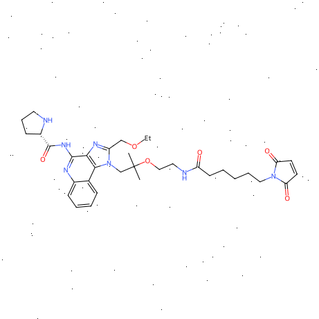 CCOCc1nc2c(NC(=O)[C@@H]3CCCN3)nc3ccccc3c2n1CC(C)(C)OCCNC(=O)CCCCCN1C(=O)C=CC1=O